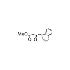 COC(=O)CC(=O)C=C1C=CCc2ccccc21